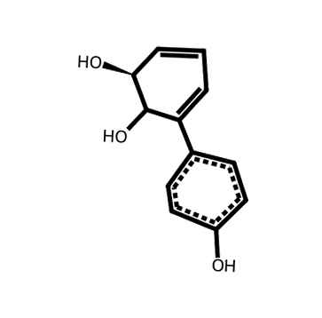 Oc1ccc(C2=CC=C[C@H](O)C2O)cc1